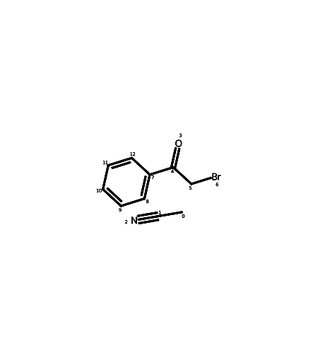 CC#N.O=C(CBr)c1ccccc1